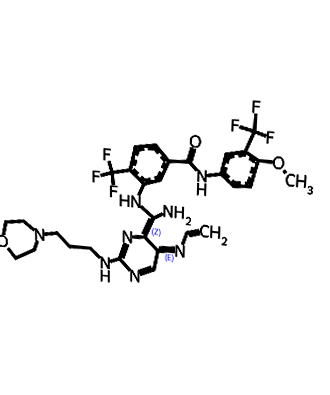 C=C/N=C1/C=NC(NCCCN2CCOCC2)=N/C1=C(/N)Nc1cc(C(=O)Nc2ccc(OC)c(C(F)(F)F)c2)ccc1C(F)(F)F